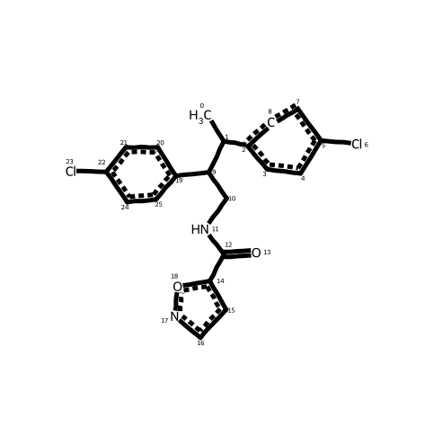 CC(c1ccc(Cl)cc1)C(CNC(=O)c1ccno1)c1ccc(Cl)cc1